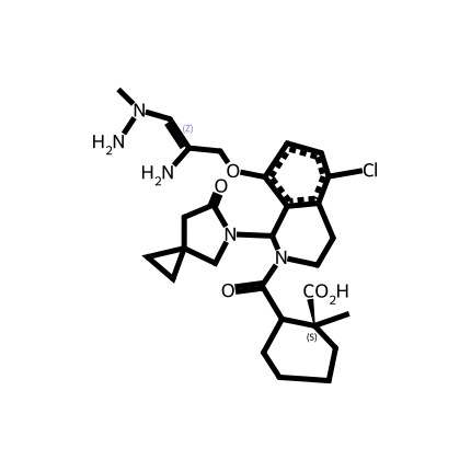 CN(N)/C=C(\N)COc1ccc(Cl)c2c1C(N1CC3(CC3)CC1=O)N(C(=O)C1CCCC[C@]1(C)C(=O)O)CC2